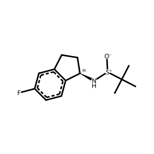 CC(C)(C)[S+]([O-])N[C@@H]1CCc2cc(F)ccc21